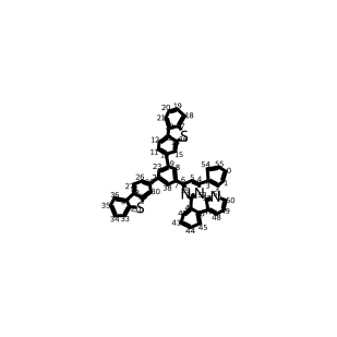 c1ccc(-c2cc(-c3cc(-c4ccc5c(c4)sc4ccccc45)cc(-c4ccc5c(c4)sc4ccccc45)c3)nc(-c3ccccc3-c3cccnc3)n2)cc1